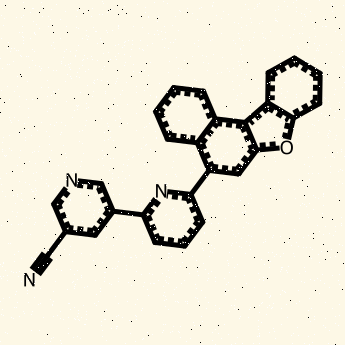 N#Cc1cncc(-c2cccc(-c3cc4oc5ccccc5c4c4ccccc34)n2)c1